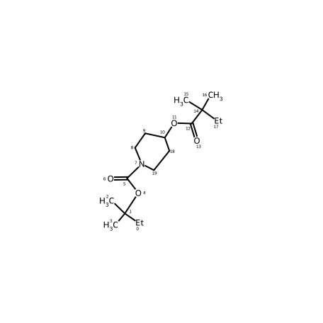 CCC(C)(C)OC(=O)N1CCC(OC(=O)C(C)(C)CC)CC1